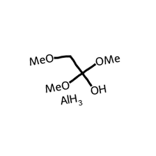 COCC(O)(OC)OC.[AlH3]